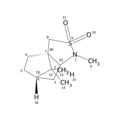 CN1[C@H]2C[C@@H]3CC[C@@]2(CS1(=O)=O)C3(C)C